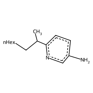 CCCCCCCC(C)c1ccc(N)cn1